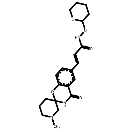 CN1CCCC2(C1)NC(=O)c1cc(/C=C/C(=O)NOC3CCCCO3)ccc1O2